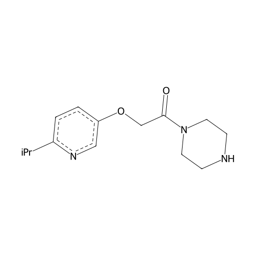 CC(C)c1ccc(OCC(=O)N2CCNCC2)cn1